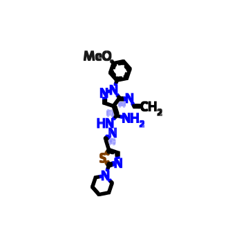 C=C/N=C1\C(=C(/N)N/N=C/c2cnc(N3CCCCC3)s2)C=NN1c1cccc(OC)c1